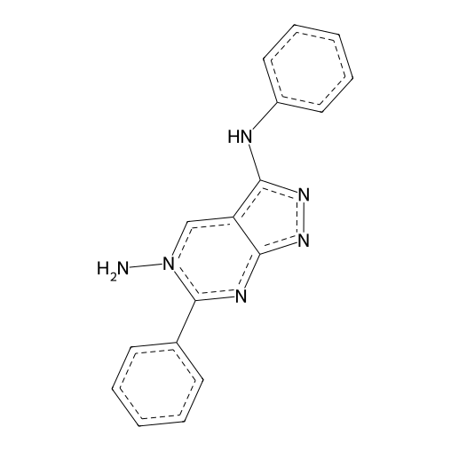 Nn1cc2c(Nc3ccccc3)nnc-2nc1-c1ccccc1